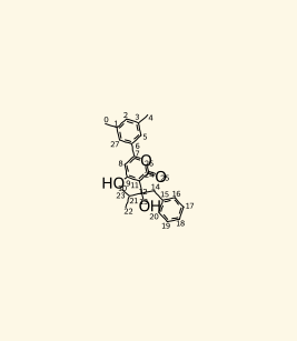 Cc1cc(C)cc(-c2cc(O)c(C(O)(Cc3ccccc3)C(C)C)c(=O)o2)c1